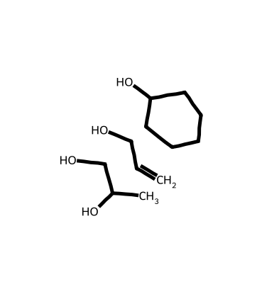 C=CCO.CC(O)CO.OC1CCCCC1